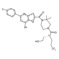 CC(C)c1cc(-c2ccc(F)cc2)nc2cc(C(=O)N3CCN(C(=O)[C@@H](CCO)CCC(F)(F)F)CC3(C)C)oc12